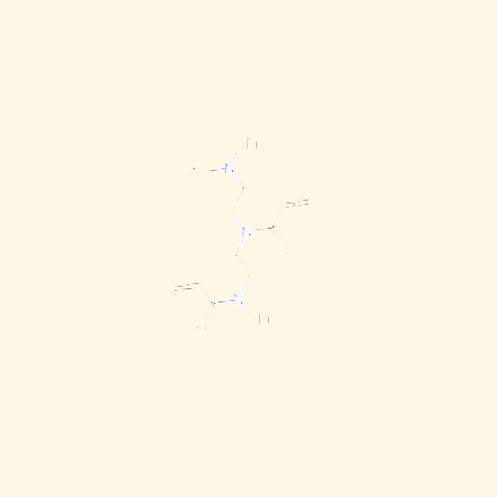 C=CC(=O)N(CCC)CCN(CCN(CCC)C(C)=O)C(=O)C=C